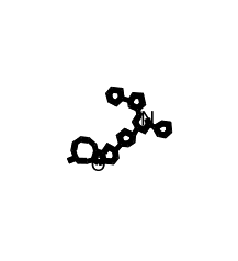 C=C1/C=C\C=C/Cc2c(oc3ccc(-c4ccc(-c5cc(-c6ccccc6)nc(-c6cccc(-c7ccccc7)c6)c5)cc4)cc23)/C=C\1